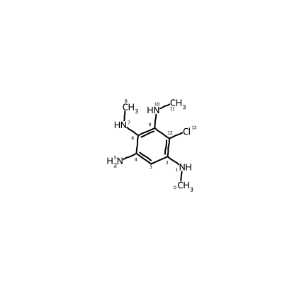 CNc1cc(N)c(NC)c(NC)c1Cl